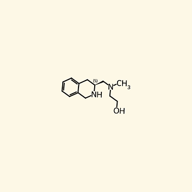 CN(CCO)C[C@@H]1Cc2ccccc2CN1